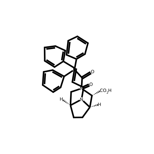 O=C(O)[C@@H]1[C@H]2CC[C@@H](CN1C(=O)N(c1ccccc1)c1ccccc1)N2C(=O)/C=C/c1ccccc1